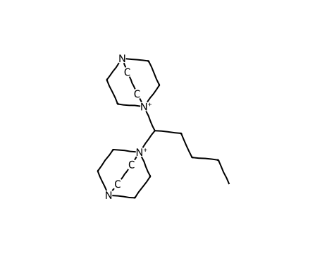 CCCCC([N+]12CCN(CC1)CC2)[N+]12CCN(CC1)CC2